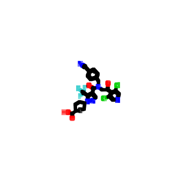 N#Cc1ccc(CN(CC(=O)c2c(Cl)cncc2Cl)C(=O)c2cnn([C@H]3CC[C@H](C(=O)O)CC3)c2C(F)(F)F)cc1